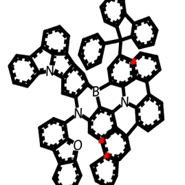 c1ccc(-c2cc3c4c(c2)N(c2cccc5c2oc2ccccc25)c2cc5c(cc2B4c2cc(C4(c6ccccc6)c6ccccc6-c6ccccc64)ccc2N3c2c(-c3ccccc3)cccc2-c2ccccc2)c2cccc3c4ccccc4n5c32)cc1